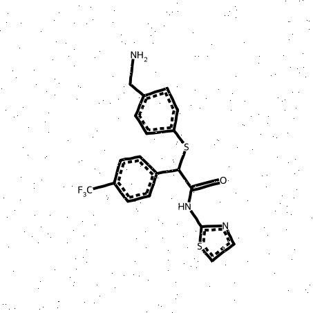 NCc1ccc(SC(C(=O)Nc2nccs2)c2ccc(C(F)(F)F)cc2)cc1